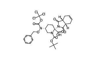 CC(C)(C)OC(=O)N1C[C@H](N(OCc2ccccc2)C(=O)OC(Cl)(Cl)Cl)CC[C@]1(C(=O)O)N1C(=O)[C@H]2CC=CC[C@H]2C1=O